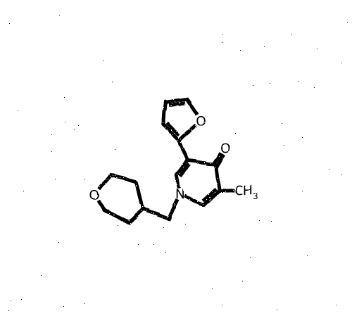 Cc1cn(CC2CCOCC2)cc(-c2ccco2)c1=O